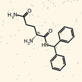 NC(=O)CC[C@@H](N)C(=O)NC(c1ccccc1)c1ccccc1